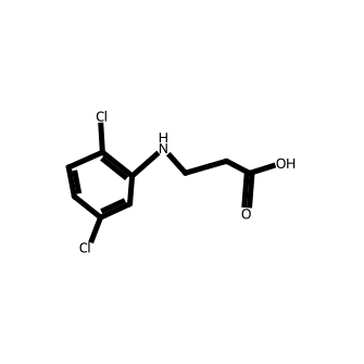 O=C(O)CCNc1cc(Cl)ccc1Cl